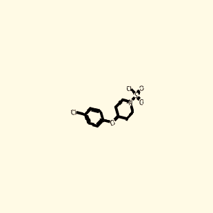 O=S(=O)(Cl)N1CCC(Oc2ccc(Cl)cc2)CC1